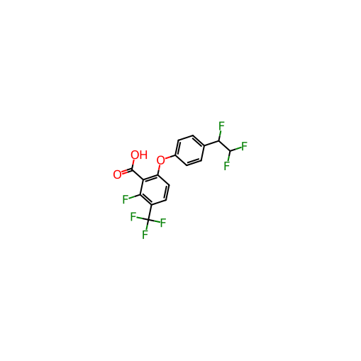 O=C(O)c1c(Oc2ccc(C(F)C(F)F)cc2)ccc(C(F)(F)F)c1F